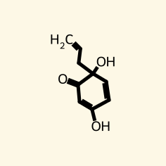 C=CCC1(O)C=CC(O)=CC1=O